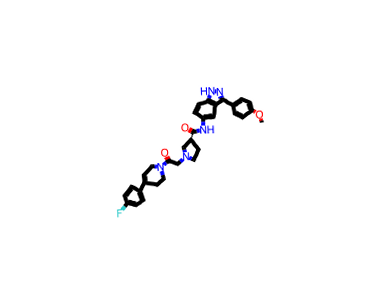 COc1ccc(-c2n[nH]c3ccc(NC(=O)[C@@H]4CCN(CC(=O)N5CC=C(c6ccc(F)cc6)CC5)C4)cc23)cc1